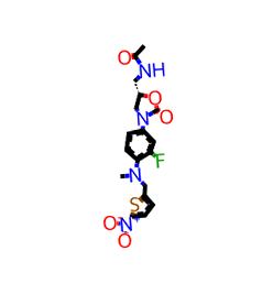 CC(=O)NC[C@H]1CN(c2ccc(N(C)Cc3ccc([N+](=O)[O-])s3)c(F)c2)C(=O)O1